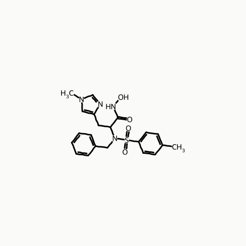 Cc1ccc(S(=O)(=O)N(Cc2ccccc2)C(Cc2cn(C)cn2)C(=O)NO)cc1